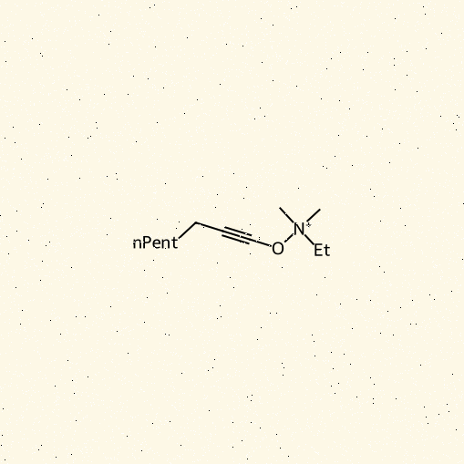 CCCCCCC#CO[N+](C)(C)CC